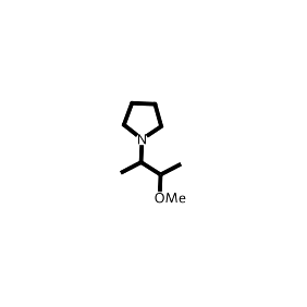 COC(C)C(C)N1CCCC1